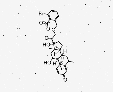 CC1C[C@@H]2[C@H](C(O)C[C@@]3(C)[C@H]2CC[C@]3(O)C(=O)COCc2cccc(Br)c2[N+](=O)[O-])[C@@]2(C)C=CC(=O)C=C12